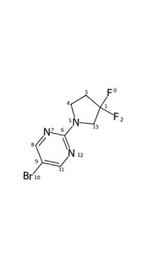 FC1(F)CCN(c2ncc(Br)cn2)C1